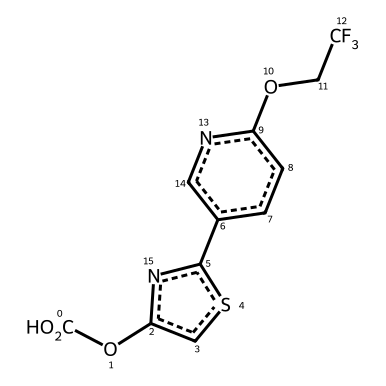 O=C(O)Oc1csc(-c2ccc(OCC(F)(F)F)nc2)n1